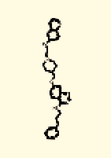 c1ccc(CCCNc2ncnc3cc(OCC4CCN(CCNc5ccc6ncccc6c5)CC4)ccc23)cc1